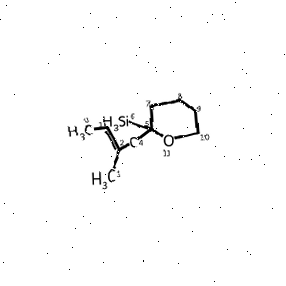 CC=C(C)CC1([SiH3])CCCCO1